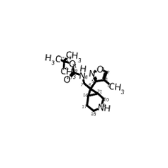 Cc1conc1C1(CNC(=O)OC(C)(C)C)C2CCNCC21